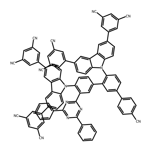 N#Cc1ccc(-c2ccc(-n3c4ccc(-c5cc(C#N)cc(C#N)c5)cc4c4cc(-c5cc(C#N)cc(C#N)c5)ccc43)c(-c3ccc(-n4c5ccc(-c6cc(C#N)cc(C#N)c6)cc5c5cc(-c6cc(C#N)cc(C#N)c6)ccc54)c(-c4nc(-c5ccccc5)nc(-c5ccccc5)n4)c3)c2)cc1